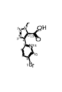 Cn1nnc(-c2ccc(Br)cn2)c1C(=O)O